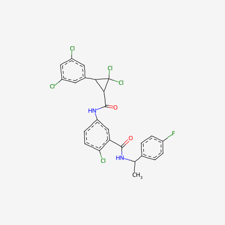 CC(NC(=O)c1cc(NC(=O)C2C(c3cc(Cl)cc(Cl)c3)C2(Cl)Cl)ccc1Cl)c1ccc(F)cc1